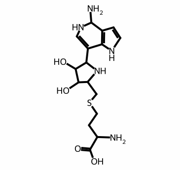 NC(CCSCC1NC(C2=CNC(N)c3cc[nH]c32)C(O)C1O)C(=O)O